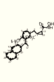 CCOC(=O)[C@@]1(Cc2ccc(O)c(C(C)c3ccc4ccccc4c3)c2)C[C@@H]1C(=O)NO